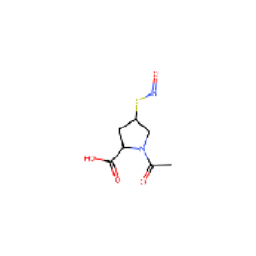 CC(=O)N1CC(SN=O)CC1C(=O)O